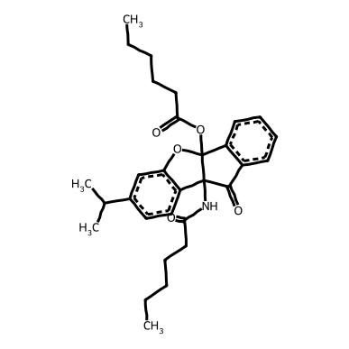 CCCCCC(=O)NC12C(=O)c3ccccc3C1(OC(=O)CCCCC)Oc1cc(C(C)C)ccc12